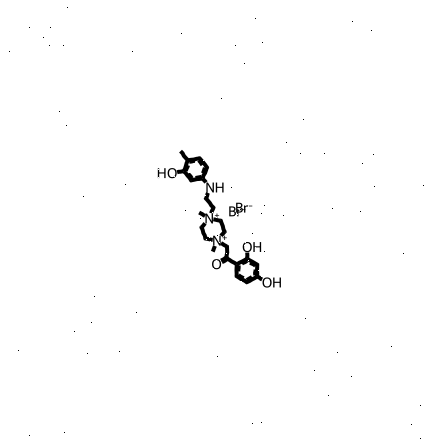 Cc1ccc(NCC[N+]2(C)CC[N+](C)(CC(=O)c3ccc(O)cc3O)CC2)cc1O.[Br-].[Br-]